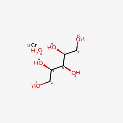 O.OC[C@@H](O)[C@H](O)[C@@H](O)CO.[Cr]